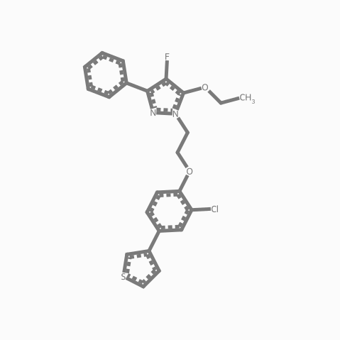 CCOc1c(F)c(-c2ccccc2)nn1CCOc1ccc(-c2ccsc2)cc1Cl